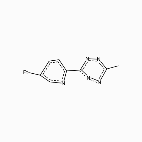 CCc1ccc(-c2nnc(C)nn2)nc1